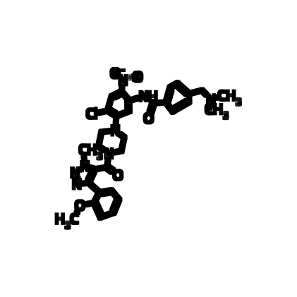 COc1ccccc1-c1nnn(C)c1C(=O)N1CCN(c2cc(NC(=O)c3ccc(CN(C)C)cc3)c([N+](=O)[O-])cc2Cl)CC1